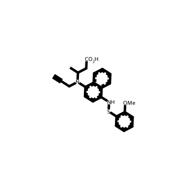 C#CCN(c1ccc(NSc2ccccc2OC)c2ccccc12)C(C)CC(=O)O